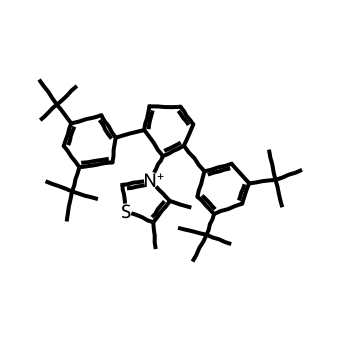 Cc1sc[n+](-c2c(-c3cc(C(C)(C)C)cc(C(C)(C)C)c3)cccc2-c2cc(C(C)(C)C)cc(C(C)(C)C)c2)c1C